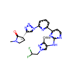 COc1nn(CC(F)F)cc1Nc1nccc(-c2cccc(-n3cc([C@@H]4CCN(C)C4=O)nn3)n2)n1